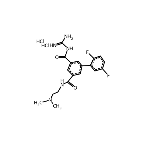 CN(C)CCNC(=O)c1cc(C(=O)NC(=N)N)cc(-c2cc(F)ccc2F)c1.Cl.Cl